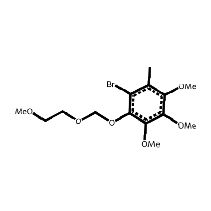 COCCOCOc1c(Br)c(C)c(OC)c(OC)c1OC